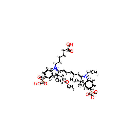 CCN1/C(=C/C=C/C=C/C2=[N+](CCCCCC(=O)O)c3ccc(S(=O)(=O)O)cc3C2(C)CCOC)C(C)(C)c2cc(S(=O)(=O)[O-])ccc21